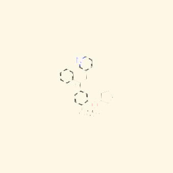 COc1ccc([C@H](Cc2cccnc2)c2ccccc2)cc1OC1CCCC1